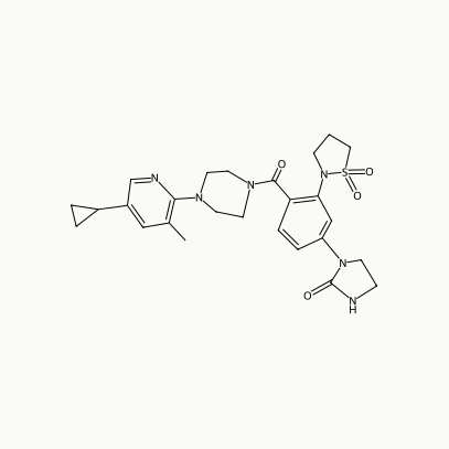 Cc1cc(C2CC2)cnc1N1CCN(C(=O)c2ccc(N3CCNC3=O)cc2N2CCCS2(=O)=O)CC1